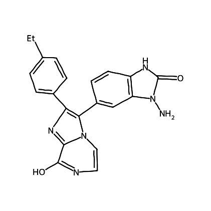 CCc1ccc(-c2nc3c(O)nccn3c2-c2ccc3[nH]c(=O)n(N)c3c2)cc1